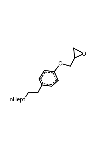 CCCCCCCCCc1ccc(OCC2CO2)cc1